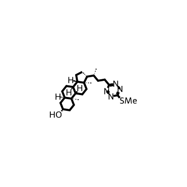 CSc1nnc(CC[C@@H](C)[C@H]2CC[C@H]3[C@@H]4CC[C@@H]5C[C@H](O)CC[C@]5(C)[C@H]4CC[C@]23C)nn1